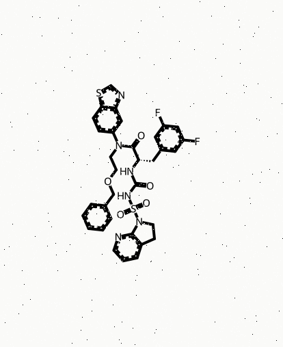 O=C(N[C@@H](Cc1cc(F)cc(F)c1)C(=O)N(CCOCc1ccccc1)c1ccc2scnc2c1)NS(=O)(=O)N1CCc2cccnc21